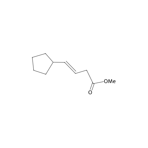 COC(=O)CC=CC1CCCC1